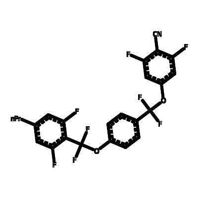 CCCc1cc(F)c(C(F)(F)Oc2ccc(C(F)(F)Oc3cc(F)c(C#N)c(F)c3)cc2)c(F)c1